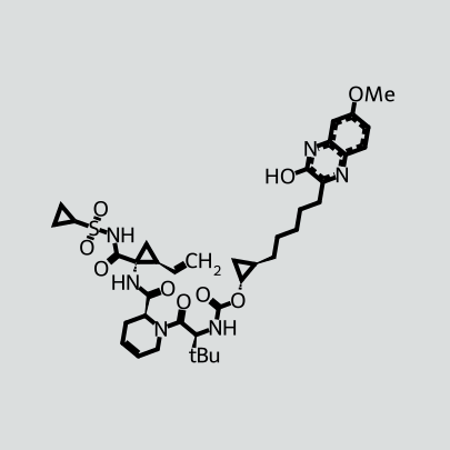 C=C[C@@H]1C[C@]1(NC(=O)[C@@H]1CC=CCN1C(=O)[C@@H](NC(=O)O[C@@H]1C[C@H]1CCCCCc1nc2ccc(OC)cc2nc1O)C(C)(C)C)C(=O)NS(=O)(=O)C1CC1